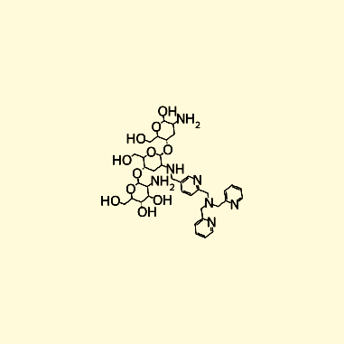 NC1C[C@H](O[C@@H]2OC(CO)[C@@H](O[C@@H]3OC(CO)[C@@H](O)[C@H](O)C3N)CC2NCc2ccc(CN(Cc3ccccn3)Cc3ccccn3)nc2)C(CO)O[C@H]1O